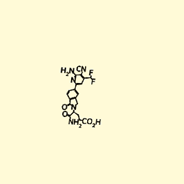 N#Cc1c(C(F)F)cc(-c2ccc3c(c2)CN([C@@H](CCC(=O)O)C(N)=O)C3=O)nc1N